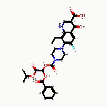 CCc1c(N2CCN(C(=O)OC(OC(=O)c3ccccc3)C(=O)OC(C)C)CC2)c(F)cc2c(=O)c(C(=O)O)c[nH]c12